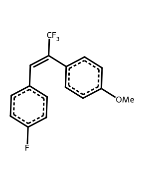 COc1ccc(/C(=C\c2ccc(F)cc2)C(F)(F)F)cc1